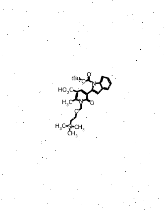 Cc1c(C(=O)O)cc(-c2cc3ccccc3n2C(=O)OC(C)(C)C)c(=O)n1COCC[Si](C)(C)C